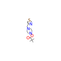 CC(C)(C)C(=O)ON1CCN(Cc2cscn2)CC1